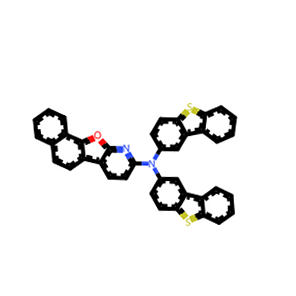 c1ccc2c(c1)ccc1c3ccc(N(c4ccc5sc6ccccc6c5c4)c4ccc5sc6ccccc6c5c4)nc3oc21